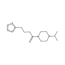 CC(C)N1CCN(C(=O)CCCc2cccs2)CC1